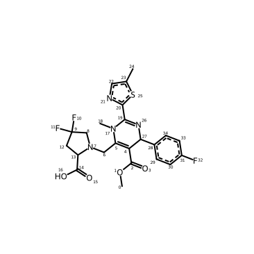 COC(=O)C1=C(CN2CC(F)(F)CC2C(=O)O)N(C)C(c2ncc(C)s2)=NC1c1ccc(F)cc1